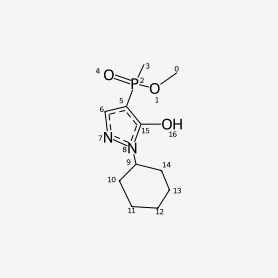 COP(C)(=O)c1cnn(C2CCCCC2)c1O